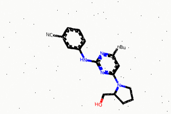 CCCCc1cc(N2CCCC2CO)nc(Nc2cccc(C#N)c2)n1